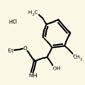 CCOC(=N)C(O)c1cc(C)ccc1C.Cl